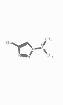 C[SH](C)n1cc(C(C)(C)C)nn1